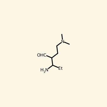 [CH2]CC(N)C(C=O)CCN(C)C